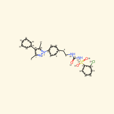 Cc1nn(-c2ccc(CCNC(=O)NS(=O)(=O)c3ccccc3Cl)cc2)c(C)c1-c1ccccc1